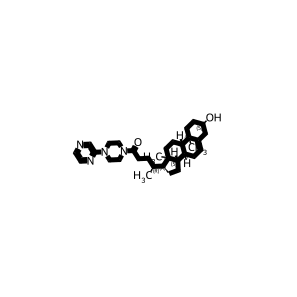 C[C@H](CCC(=O)N1CCN(c2cnccn2)CC1)[C@H]1CC[C@H]2[C@@H]3CC=C4C[C@@H](O)CC[C@]4(C)[C@H]3CC[C@]12C